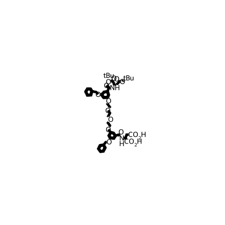 CC(C)(C)OC(=O)C[C@H](NC(=O)c1cc(OCCOCCOCCOc2cc(OCc3ccccc3)cc(C(=O)N[C@@H](CC(=O)O)C(=O)O)c2)cc(OCc2ccccc2)c1)C(=O)OC(C)(C)C